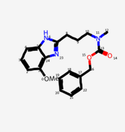 COc1cccc2[nH]c(CCCN(C)C(=O)OCc3ccccc3)nc12